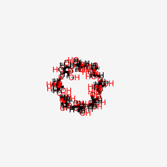 OCC1OC2O[C@@H]3C(CO)O[C@H](O[C@@H]4C(CO)O[C@H](O[C@@H]5C(CO)O[C@H](O[C@@H]6C(CO)OC(O[C@@H]7C(CO)O[C@H](O[C@@H]8C(CO)O[C@H](O[C@@H]9C(CO)OC(O[C@H]1[C@H](O)[C@@H]2O)[C@@H](O)[C@H]9O)C(O)[C@H]8O)C(O)[C@H]7O)[C@@H](O)[C@H]6O)C(O)[C@H]5O)C(O)[C@H]4O)C(O)[C@H]3O